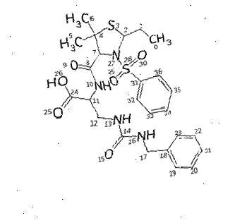 CCC1SC(C)(C)C(C(=O)NC(CNC(=O)NCc2ccccc2)C(=O)O)N1S(=O)(=O)c1ccccc1